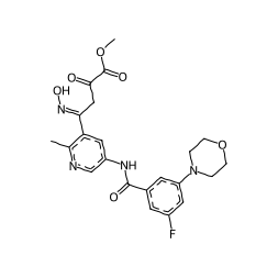 COC(=O)C(=O)CC(=NO)c1cc(NC(=O)c2cc(F)cc(N3CCOCC3)c2)cnc1C